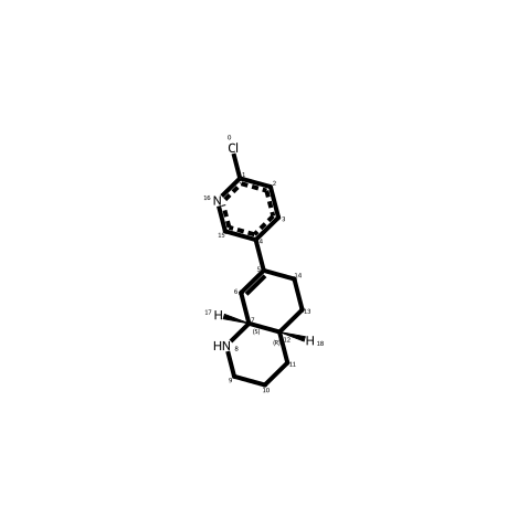 Clc1ccc(C2=C[C@H]3NCCC[C@H]3CC2)cn1